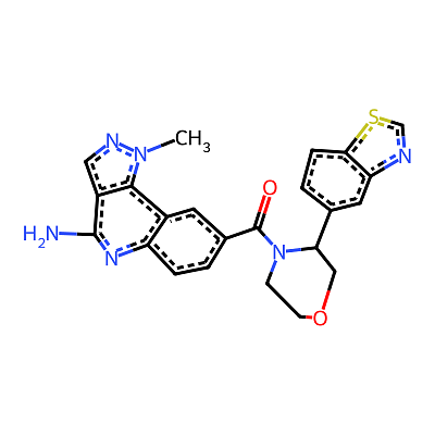 Cn1ncc2c(N)nc3ccc(C(=O)N4CCOCC4c4ccc5scnc5c4)cc3c21